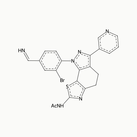 CC(=O)Nc1nc2c(s1)-c1c(c(-c3cccnc3)nn1-c1ccc(C=N)cc1Br)CC2